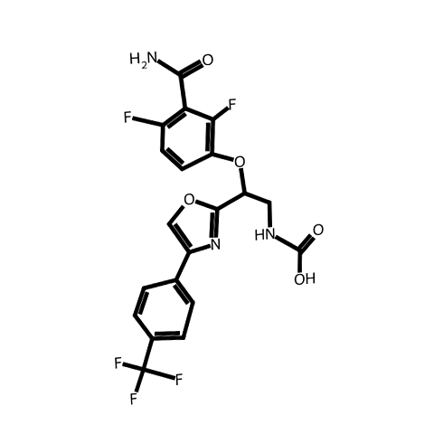 NC(=O)c1c(F)ccc(OC(CNC(=O)O)c2nc(-c3ccc(C(F)(F)F)cc3)co2)c1F